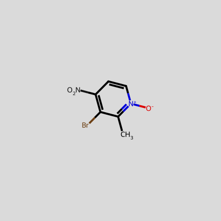 Cc1c(Br)c([N+](=O)[O-])cc[n+]1[O-]